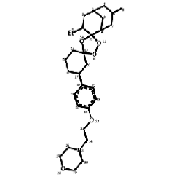 CCC1CC2CC(C)CC(C2)C12OOC1(CCCC(c3ccc(OCCN4CCOCC4)cc3)C1)O2